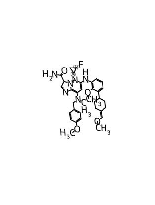 COC=C1CCC(c2cccc(NC3=CC(N(C)Cc4ccc(OC)cc4)=C4N=CC(C(N)=O)N4N3[C@@H]3C[C@@H]3F)c2OC)CC1